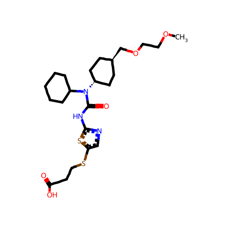 COCCOC[C@H]1CC[C@H](N(C(=O)Nc2ncc(SCCC(=O)O)s2)C2CCCCC2)CC1